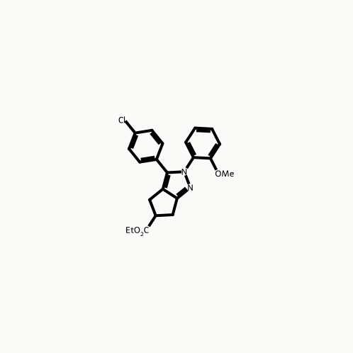 CCOC(=O)C1Cc2nn(-c3ccccc3OC)c(-c3ccc(Cl)cc3)c2C1